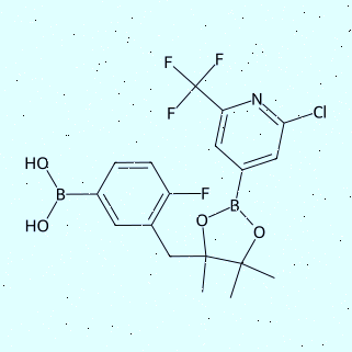 CC1(C)OB(c2cc(Cl)nc(C(F)(F)F)c2)OC1(C)Cc1cc(B(O)O)ccc1F